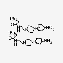 CC(C)(C)OC(=O)NCCN1CCN(c2ccc(N)cc2)CC1.CC(C)(C)OC(=O)NCCN1CCN(c2ccc([N+](=O)[O-])cc2)CC1